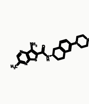 Cc1cnc2c(N)c(C(=O)N[C@H]3CCc4cc(N5CCNCC5)ccc4C3)sc2n1